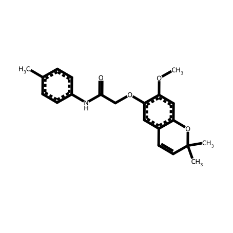 COc1cc2c(cc1OCC(=O)Nc1ccc(C)cc1)C=CC(C)(C)O2